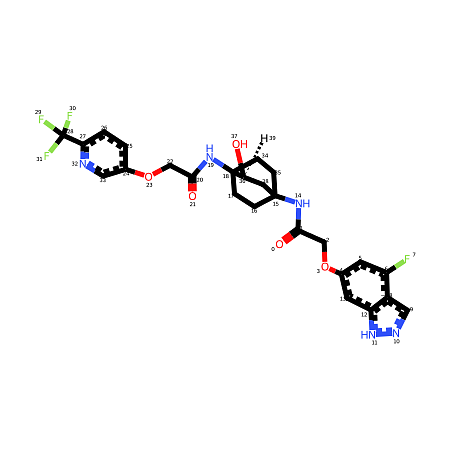 O=C(COc1cc(F)c2cn[nH]c2c1)NC12CCC(NC(=O)COc3ccc(C(F)(F)F)nc3)(CC1)[C@@H](O)C2